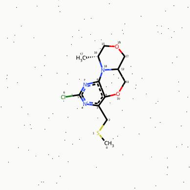 CSCc1nc(Cl)nc2c1OCC1COC[C@@H](C)N21